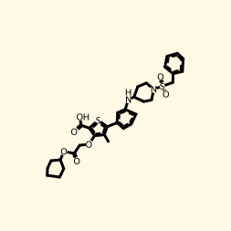 Cc1c(-c2cccc(NC3CCN(S(=O)(=O)Cc4ccccc4)CC3)c2)sc(C(=O)O)c1OCC(=O)OC1CCCCC1